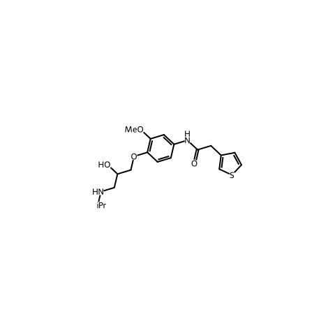 COc1cc(NC(=O)Cc2ccsc2)ccc1OCC(O)CNC(C)C